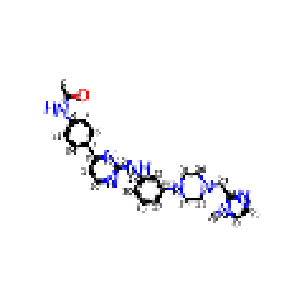 CC(=O)Nc1ccc(-c2ccnc(Nc3cccc(N4CCN(Cc5nccn5C)CC4)c3)n2)cc1